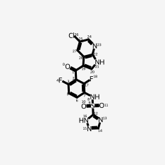 O=C(c1c(F)ccc(NS(=O)(=O)c2ncn[nH]2)c1F)c1c[nH]c2ncc(Cl)cc12